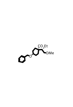 CCOC(=O)[C@]1(CCOC)CC[C@@H](OCc2ccccc2)CC1